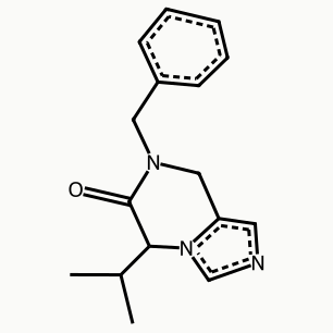 CC(C)C1C(=O)N(Cc2ccccc2)Cc2cncn21